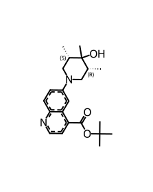 C[C@@H]1CN(c2ccc3nccc(C(=O)OC(C)(C)C)c3c2)C[C@H](C)C1(C)O